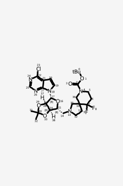 CC(C)(C)OC(=O)N1CCC(F)(F)C2(CCN(C[C@H]3O[C@@H](n4ccc5c(Cl)ncnc54)[C@@H]4OC(C)(C)O[C@@H]43)C2)C1